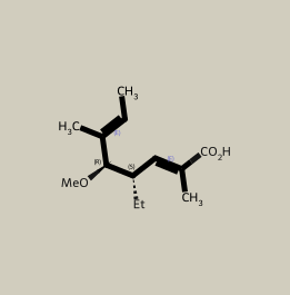 C/C=C(\C)[C@H](OC)[C@H](/C=C(\C)C(=O)O)CC